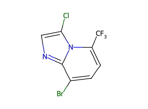 FC(F)(F)c1ccc(Br)c2ncc(Cl)n12